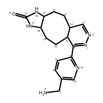 NCc1ccc(C2=NN=CC3CCC4NC(=O)NC4CCC23)nc1